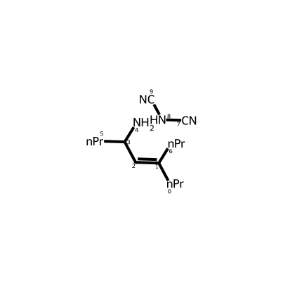 CCCC(=CC(N)CCC)CCC.N#CNC#N